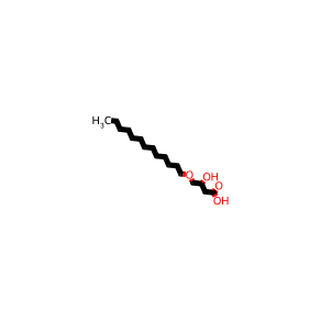 CCCCCCCCCCCCCOCC(O)CC(=O)O